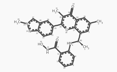 Cc1cc([C@@H](C)Nc2ccccc2C(=O)NO)c2oc(-c3ccc4nn(C)cc4c3)c(C)c(=O)c2c1